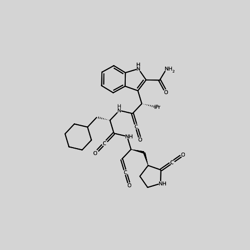 CC(C)[C@H](C(=C=O)N[C@@H](CC1CCCCC1)C(=C=O)N[C@H](C=C=O)C[C@@H]1CCNC1=C=O)c1c(C(N)=O)[nH]c2ccccc12